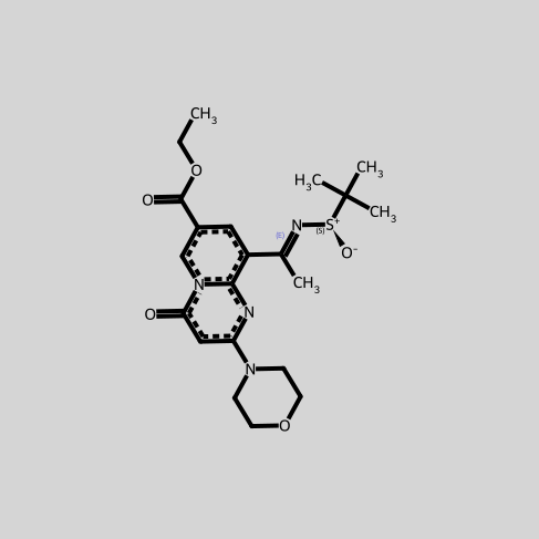 CCOC(=O)c1cc(/C(C)=N/[S@+]([O-])C(C)(C)C)c2nc(N3CCOCC3)cc(=O)n2c1